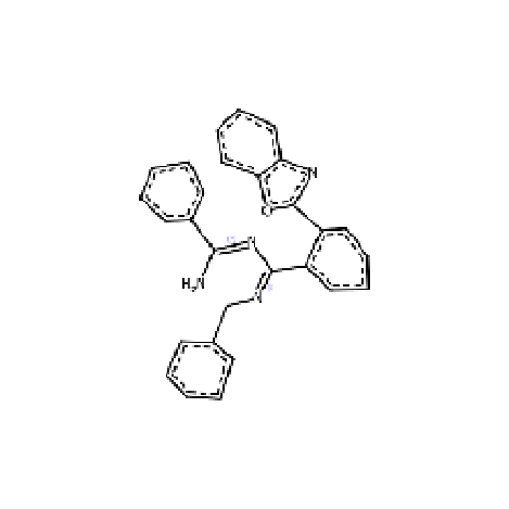 N/C(=N\C(=N/Cc1ccccc1)c1ccccc1-c1nc2ccccc2o1)c1ccccc1